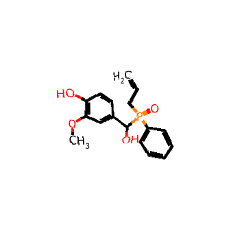 C=CCP(=O)(c1ccccc1)C(O)c1ccc(O)c(OC)c1